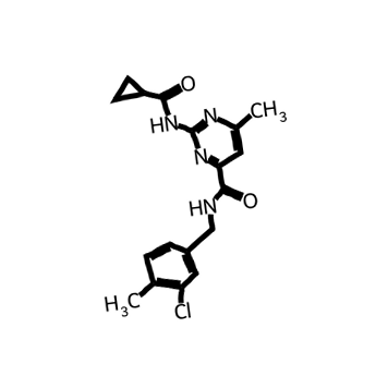 Cc1cc(C(=O)NCc2ccc(C)c(Cl)c2)nc(NC(=O)C2CC2)n1